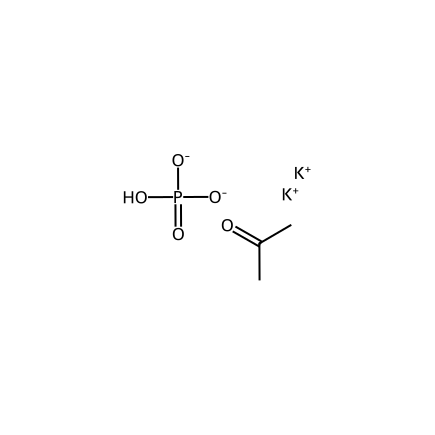 CC(C)=O.O=P([O-])([O-])O.[K+].[K+]